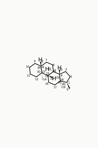 C[C@@H]1CC[C@H]2[C@@H]3CC[C@H]4CCCC[C@]4(C)[C@H]3CC[C@]12C